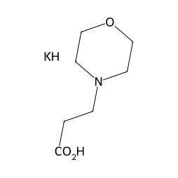 O=C(O)CCN1CCOCC1.[KH]